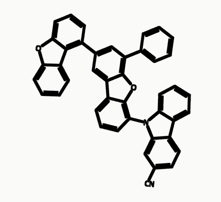 N#Cc1ccc2c3ccccc3n(-c3cccc4c3oc3c(-c5ccccc5)cc(-c5cccc6oc7ccccc7c56)cc34)c2c1